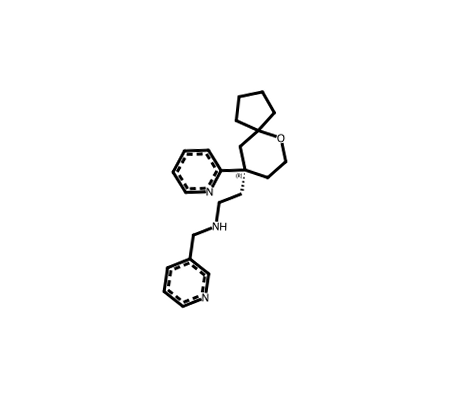 c1ccc([C@]2(CCNCc3cccnc3)CCOC3(CCCC3)C2)nc1